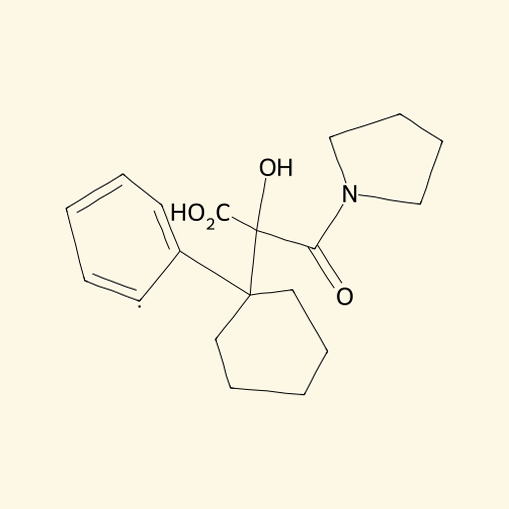 O=C(O)C(O)(C(=O)N1CCCC1)C1(c2[c]cccc2)CCCCC1